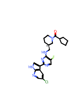 O=C(C1CCCC1)N1CCC[C@H](CNc2nc(-c3c[nH]c4ncc(Cl)cc34)ncc2F)C1